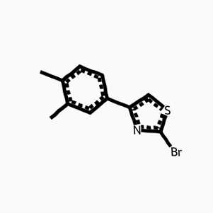 Cc1ccc(-c2csc(Br)n2)cc1C